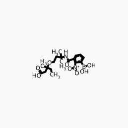 CCC(C)(CC(=O)O)OCCC(C)(C)NC(=O)c1cccc(B(O)O)c1[N+](=O)[O-]